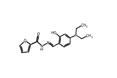 CCN(CC)c1ccc(/C=N/NC(=O)c2ccco2)c(O)c1